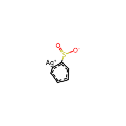 O=S([O-])c1ccccc1.[Ag+]